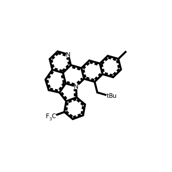 Cc1ccc2c(CC(C)(C)C)c3c(cc2c1)c1nccc2ccc4c5c(C(F)(F)F)cccc5n3c4c21